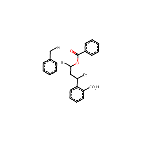 CC(C)Cc1ccccc1.CCC(CC(CC)c1ccccc1C(=O)O)OC(=O)c1ccccc1